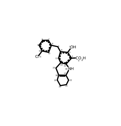 O=C(O)c1c(O)c(Cc2cccc(Cl)c2)cc2c1NC1=C(CCCC1)C2